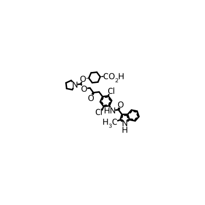 Cc1[nH]c2ccccc2c1C(=O)Nc1cc(Cl)c(CC(=O)COC(O[C@H]2CC[C@H](C(=O)O)CC2)N2CCCC2)cc1Cl